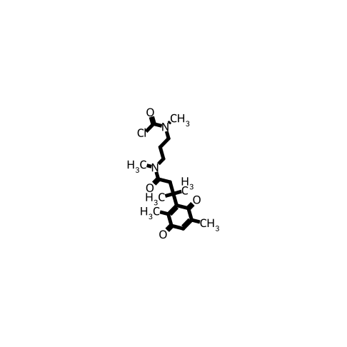 CC1=CC(=O)C(C)=C(C(C)(C)CC(=O)N(C)CCCN(C)C(=O)Cl)C1=O